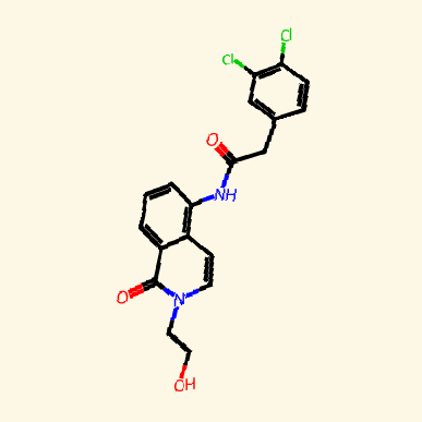 O=C(Cc1ccc(Cl)c(Cl)c1)Nc1cccc2c(=O)n(CCO)ccc12